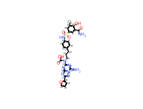 NC(=O)c1cc(S(=O)(=O)Nc2ccc(CCCN(C(=O)O)c3nc(N)n4nc(-c5ccco5)nc4n3)cc2)cc(Cl)c1O